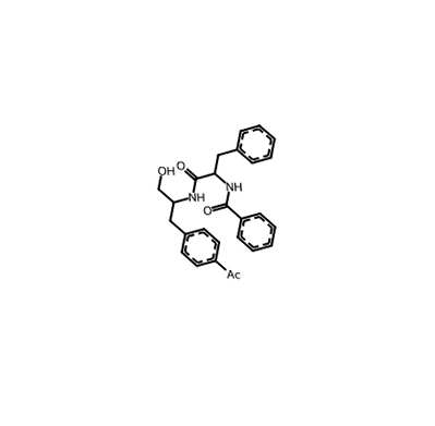 CC(=O)c1ccc(CC(CO)NC(=O)C(Cc2ccccc2)NC(=O)c2ccccc2)cc1